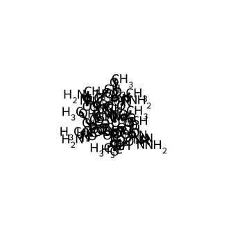 CC[C@H]1O[C@@H](n2cc(C)c(N)nc2=O)C[C@H]1OP(=O)(S)OC[C@H]1O[C@@H](n2cnc3c(N)ncnc32)C(OCCOC)[C@H]1OP(=O)(O)OC[C@H]1O[C@@H](n2cc(C)c(=O)[nH]c2=O)C(OCCOC)[C@H]1OP(=O)(O)OC[C@H]1O[C@@H](n2cc(C)c(N)nc2=O)C(OCCOC)[C@H]1OP(=O)(S)OC[C@H]1O[C@@H](n2cc(C)c(N)nc2=O)C(OCCOC)[C@H]1OP(=O)(S)OC[C@H]1O[C@@H](n2cc(C)c(N)nc2=O)C(OCCOC)[C@H]1O